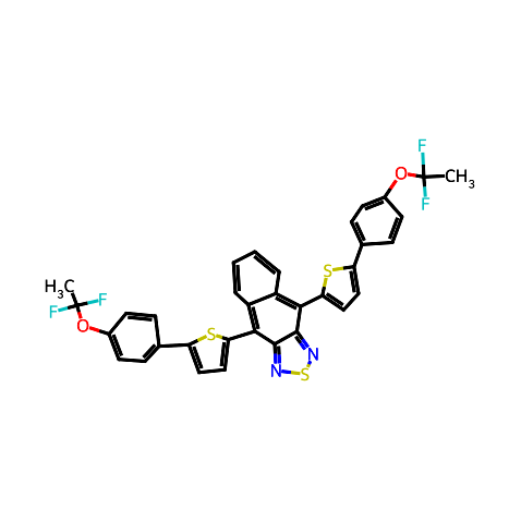 CC(F)(F)Oc1ccc(-c2ccc(-c3c4ccccc4c(-c4ccc(-c5ccc(OC(C)(F)F)cc5)s4)c4nsnc34)s2)cc1